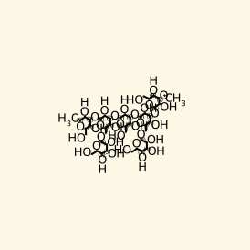 CO[C@@H]1C(O)[C@H](O[C@@H]2C(O)[C@H](O[C@@H]3C(O)[C@H](O[C@@H]4C(O)[C@H](O[C@@H]5C(O)[C@H](C)OC(CO)[C@H]5O)OC(CO[C@@H]5OC(CO)[C@@H](O)[C@H](O)C5O)[C@H]4O)OC(CO)[C@H]3O)OC(CO[C@@H]3OC(CO)[C@@H](O)[C@H](O)C3O)[C@H]2O)OC(CO)[C@H]1O